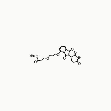 CC(C)(C)OC(=O)CCOCCCOc1cccc2c1C(=O)N(C1CCC(=O)NC1=O)C2=O